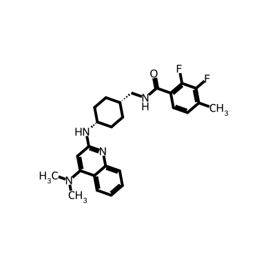 Cc1ccc(C(=O)NC[C@H]2CC[C@@H](Nc3cc(N(C)C)c4ccccc4n3)CC2)c(F)c1F